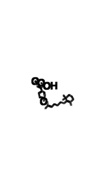 CC(=CCCCCC1=C(C)CCCC1(C)C)COc1ccc(C2=CC(=O)OC2O)cc1